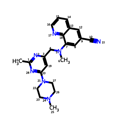 Cc1nc(CN(C)c2cc(C#N)cc3cccnc23)cc(N2CCN(C)CC2)n1